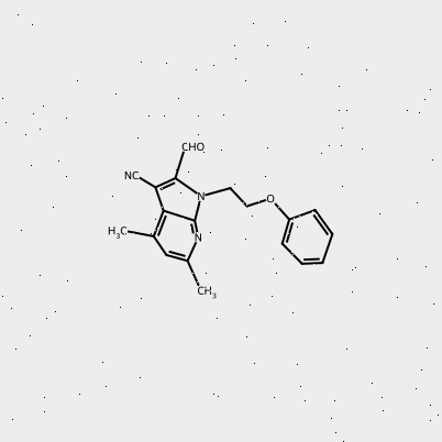 Cc1cc(C)c2c(C#N)c(C=O)n(CCOc3ccccc3)c2n1